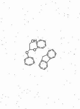 OCC(Oc1ccccc1)Oc1ccccc1.c1ccc2c(c1)Cc1ccccc1-2